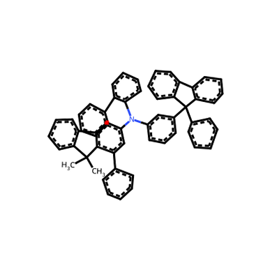 CC1(C)c2ccccc2-c2cc(N(c3cccc(C4(c5ccccc5)c5ccccc5-c5ccccc54)c3)c3ccccc3-c3ccccc3)cc(-c3ccccc3)c21